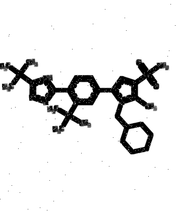 Cc1c(S(N)(=O)=O)cc(-c2ccc(-c3nnc(C(C)(C)C)[nH]3)c(C(C)(C)C)c2)n1CC1CCCCC1